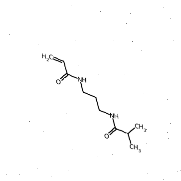 C=CC(=O)NCCCNC(=O)C(C)C